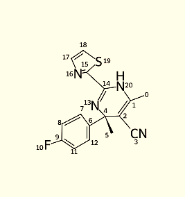 CC1=C(C#N)[C@](C)(c2ccc(F)cc2)N=C(c2nccs2)N1